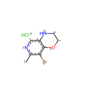 Cc1ncc2c(c1Br)OCCN2.Cl